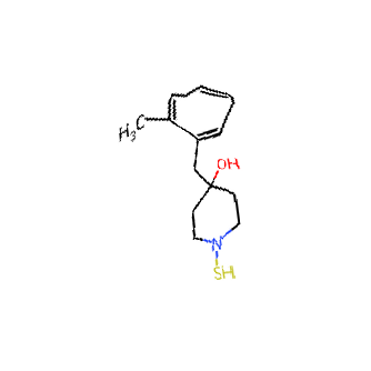 Cc1ccccc1CC1(O)CCN(S)CC1